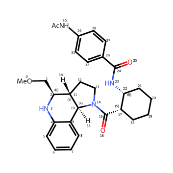 COC[C@@H]1Nc2ccccc2[C@H]2[C@H]1CCN2C(=O)[C@H]1CCCC[C@H]1NC(=O)c1ccc(NC(C)=O)cc1